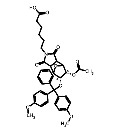 COc1ccc(C(O[C@@H]2C3OC(C4C(=O)N(CCCCCC(=O)O)C(=O)C43)[C@@H]2OC(C)=O)(c2ccccc2)c2ccc(OC)cc2)cc1